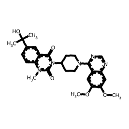 COc1cc2ncnc(N3CCC(n4c(=O)c5cc(C(C)(C)O)ccc5n(C)c4=O)CC3)c2cc1OC